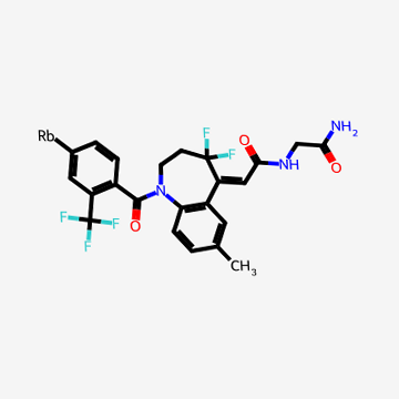 Cc1ccc2c(c1)/C(=C/C(=O)NCC(N)=O)C(F)(F)CCN2C(=O)c1cc[c]([Rb])cc1C(F)(F)F